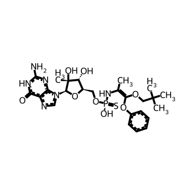 CC(N[P@@](O)(=S)OC[C@H]1O[C@@H](n2cnc3c(=O)[nH]c(N)nc32)[C@](C)(O)[C@@H]1O)=C(OCC(C)(C)C)Oc1ccccc1